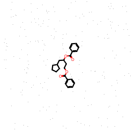 O=C(OCCC(CC1CCCC1)OC(=O)c1ccccc1)c1ccccc1